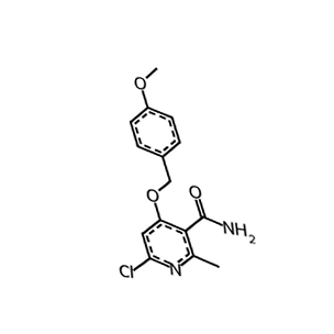 COc1ccc(COc2cc(Cl)nc(C)c2C(N)=O)cc1